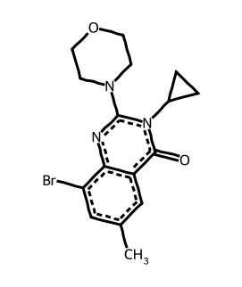 Cc1cc(Br)c2nc(N3CCOCC3)n(C3CC3)c(=O)c2c1